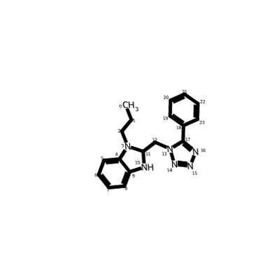 CCCN1c2ccccc2NC1Cn1nnnc1-c1ccccc1